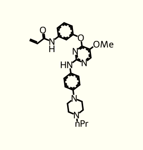 C=CC(=O)Nc1cccc(Oc2nc(Nc3ccc(N4CCN(CCC)CC4)cc3)ncc2OC)c1